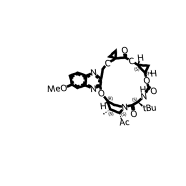 COc1ccc2nc3c(nc2c1)O[C@H]1CN(C(=O)[C@H](C(C)(C)C)NC(=O)O[C@@H]2C[C@H]2CC(=O)C2(CC3)CC2)[C@H](C(C)=O)[C@@H]1C